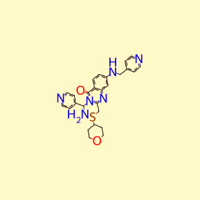 NC(c1ccncc1)n1c(CSC2CCOCC2)nc2cc(NCc3ccncc3)ccc2c1=O